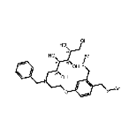 CC(=O)SCc1ccc(OCCN(Cc2ccccc2)C[C@H](O)[C@@H](O)[C@H](O)[C@H](O)CO)cc1CSC(C)=O